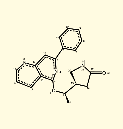 C[C@@H](Oc1nc(-c2ccccc2)cc2ncccc12)[C@H]1CNC(=O)C1